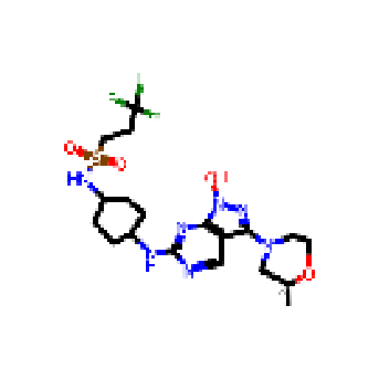 C[C@H]1CN(c2nn(O)c3nc(NC4CCC(NS(=O)(=O)CCC(F)(F)F)CC4)ncc23)CCO1